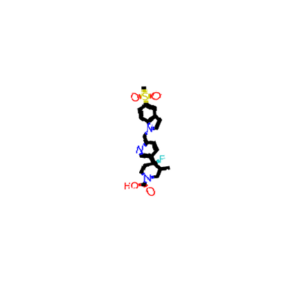 CC1CN(C(=O)O)CCC1(F)c1ccc(Cn2ccc3cc(S(C)(=O)=O)ccc32)nc1